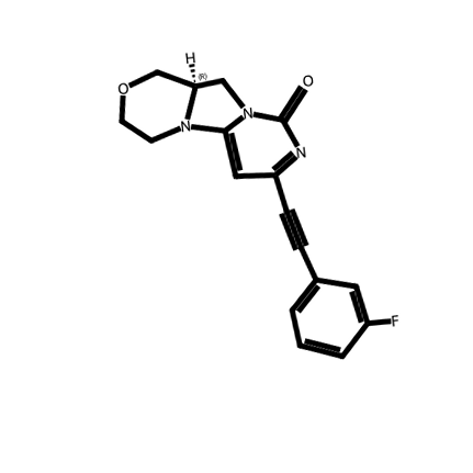 O=c1nc(C#Cc2cccc(F)c2)cc2n1C[C@@H]1COCCN21